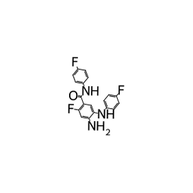 Nc1cc(F)c(C(=O)Nc2ccc(F)cc2)cc1Nc1ccc(F)cc1